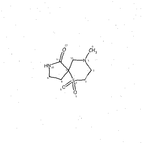 CN1CCS(=O)(=O)C2(CCNC2=O)C1